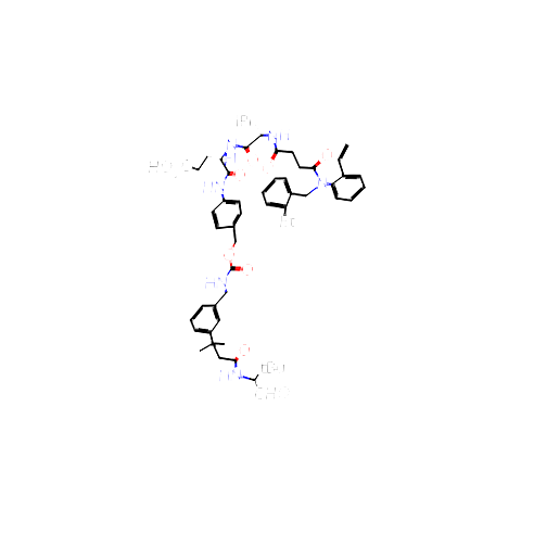 C=Cc1ccccc1N(Cc1ccccc1CC)C(=O)CCC(=O)N[C@H](C(=O)N[C@@H](CCC(=O)O)C(=O)Nc1ccc(COC(=O)NCc2cccc(C(C)(C)CC(=O)N[C@H](C=O)C(C)(C)C)c2)cc1)C(C)C